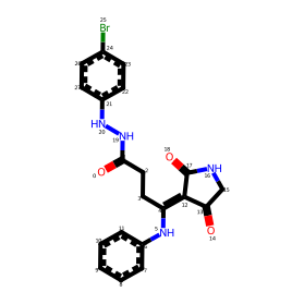 O=C(CCC(Nc1ccccc1)=C1C(=O)CNC1=O)NNc1ccc(Br)cc1